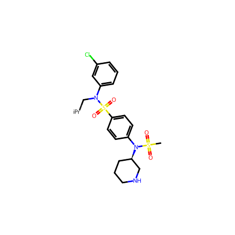 CC(C)CN(c1cccc(Cl)c1)S(=O)(=O)c1ccc(N([C@@H]2CCCNC2)S(C)(=O)=O)cc1